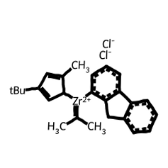 CC1=CC(C(C)(C)C)=C[CH]1[Zr+2](=[C](C)C)[c]1cccc2c1Cc1ccccc1-2.[Cl-].[Cl-]